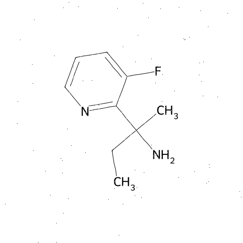 CCC(C)(N)c1ncccc1F